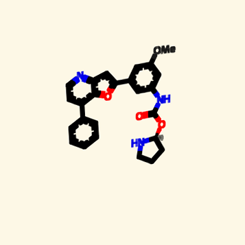 COc1cc(NC(=O)O[C@H]2CCCN2)cc(-c2cc3nccc(-c4ccccc4)c3o2)c1